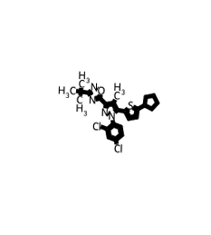 Cc1c(-c2nc(C(C)(C)C)no2)nn(-c2ccc(Cl)cc2Cl)c1-c1ccc(C2CCCC2)s1